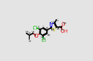 Cc1nc(-c2cc(Cl)c(OCC(C)C)c(Cl)c2)sc1C(=O)O